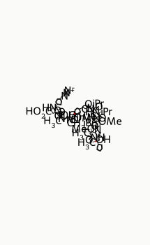 CC[C@H](C)[C@@H]([C@@H](CC(=O)N1CCC[C@H]1[C@H](OC)[C@@H](C)C(=O)N[C@H](C)[C@@H](O)c1ccccc1)OC)N(C)C(=O)[C@@H](NC(=O)[C@@H](NC(=O)OCc1ccc(OC(=O)N(C)CCN(C)P(=O)(O)OCC[C@H](NC(=O)c2ccc(CN=[N+]=[N-])cc2)C(=O)O)c(OC)c1)C(C)C)C(C)C